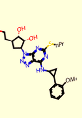 CCCSc1nc(NC2CC2c2ccccc2OC)c2nnn([C@H]3C[C@@H](CCO)[C@H](O)[C@@H]3O)c2n1